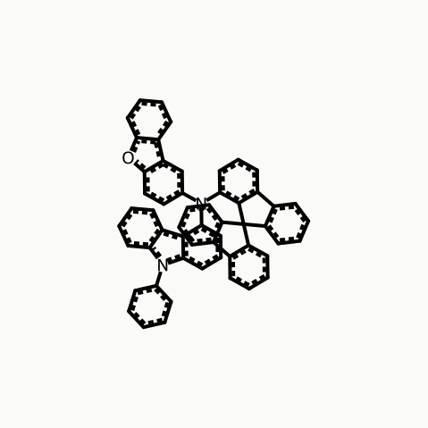 c1ccc(-n2c3ccccc3c3c(N(c4ccc5oc6ccccc6c5c4)c4cccc5c4C4(c6ccccc6-c6ccccc64)c4ccccc4-5)cccc32)cc1